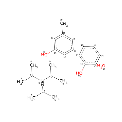 CC(C)[SiH](C(C)C)C(C)C.Cc1cccc(O)c1.O.Oc1ccccc1